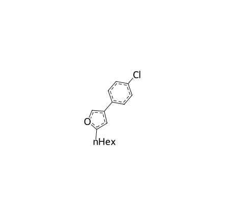 [CH2]CCCCCc1cc(-c2ccc(Cl)cc2)co1